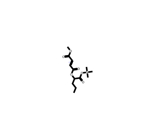 CCCC(OC(=O)/C=C/C(=O)OC)C(=O)O[Si](C)(C)C